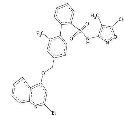 CCc1cc(OCc2ccc(-c3ccccc3S(=O)(=O)Nc3noc(C)c3C)c(C(F)(F)F)c2)c2ccccc2n1